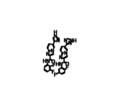 O=C(Nc1cc(F)ccc1F)c1cn2cc(-c3nc[nH]n3)ccc2n1.O=C(Nc1cccc(F)c1F)c1cn2cc(-c3c[nH]cn3)ccc2n1